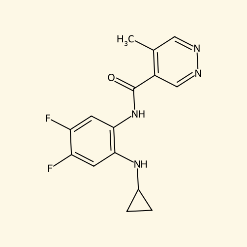 Cc1cnncc1C(=O)Nc1cc(F)c(F)cc1NC1CC1